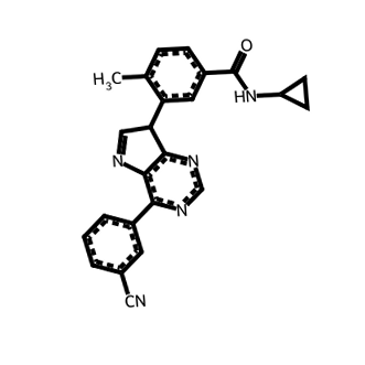 Cc1ccc(C(=O)NC2CC2)cc1C1C=Nc2c(-c3cccc(C#N)c3)ncnc21